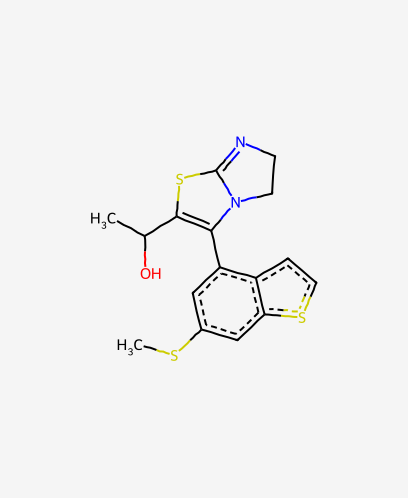 CSc1cc(C2=C(C(C)O)SC3=NCCN32)c2ccsc2c1